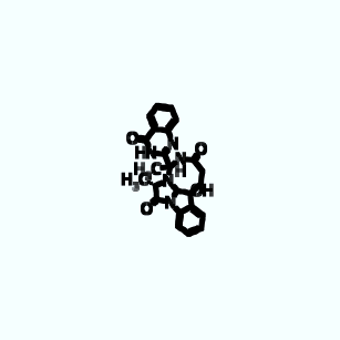 C[C@H]1C(=O)N2c3ccccc3[C@@]3(O)CCC(=O)NC(C)(c4nc5ccccc5c(=O)[nH]4)N1C23